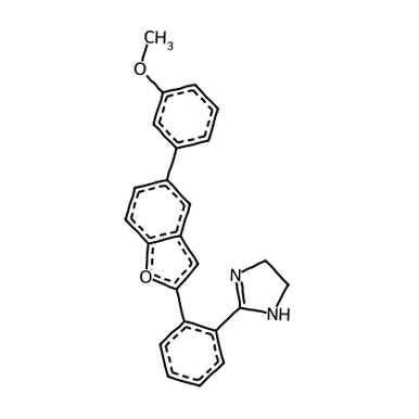 COc1cccc(-c2ccc3oc(-c4ccccc4C4=NCCN4)cc3c2)c1